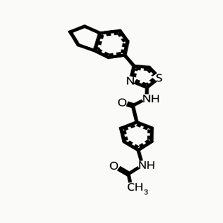 CC(=O)Nc1ccc(C(=O)Nc2nc(-c3ccc4c(c3)CCC4)cs2)cc1